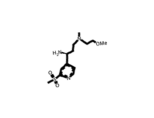 COCCN(C)CC[C@H](N)c1ccnc(S(C)(=O)=O)c1